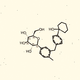 Cc1ccc([C@@H]2O[C@H](CO)[C@@H](O)[C@H](O)[C@H]2O)cc1Cc1ccc(C2(O)CCCCC2)cc1